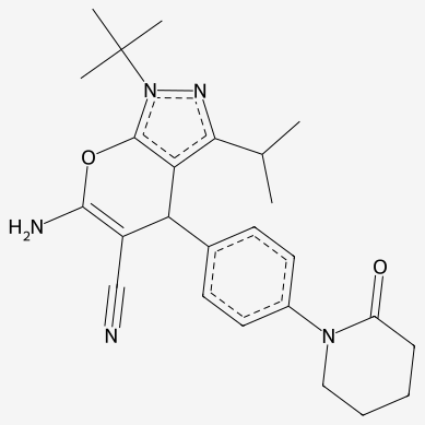 CC(C)c1nn(C(C)(C)C)c2c1C(c1ccc(N3CCCCC3=O)cc1)C(C#N)=C(N)O2